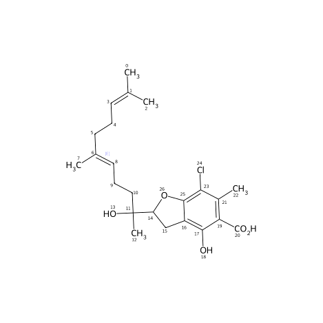 CC(C)=CCC/C(C)=C/CCC(C)(O)C1Cc2c(O)c(C(=O)O)c(C)c(Cl)c2O1